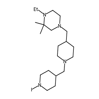 CCN1CCN(CC2CCN(CC3CCN(I)CC3)CC2)CC1(C)C